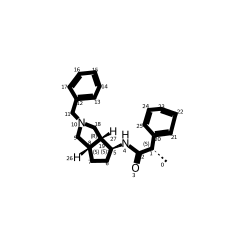 C[C@H](C(=O)N[C@H]1CC[C@@H]2CN(Cc3ccccc3)C[C@@H]21)c1ccccc1